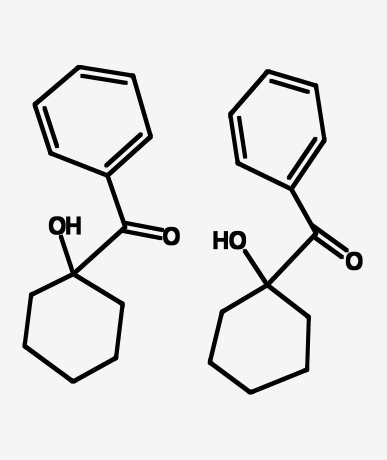 O=C(c1ccccc1)C1(O)CCCCC1.O=C(c1ccccc1)C1(O)CCCCC1